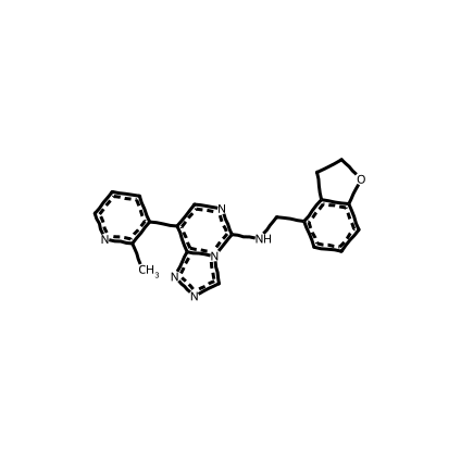 Cc1ncccc1-c1cnc(NCc2cccc3c2CCO3)n2cnnc12